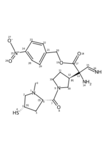 CN1C[C@@H](S)C[C@H]1C(=O)N1CC[C@@H](C(N)(C=N)C(=O)OCc2ccc([N+](=O)[O-])cc2)C1